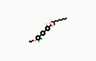 C=CCOc1ccc(-c2ccc(-c3ccc(C4OCC(CCCCCCC)CO4)c(F)c3)cc2)c(F)c1F